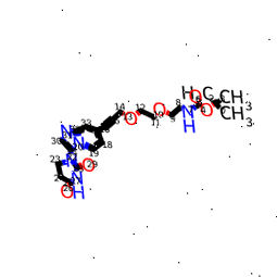 CC(C)(C)OC(=O)NCCOCCOCC#Cc1ccn2c(N3CCC(=O)NC3=O)cnc2c1